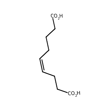 O=C(O)CC/C=C\CCCC(=O)O